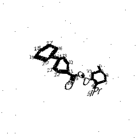 CC1CCC(C(C)C)[C](OOC(=O)c2ccc(-c3ccccc3)cc2)C1